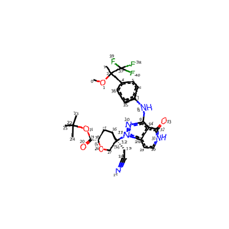 COC(C)(c1ccc(Nc2nn([C@]3(CC#N)CC[C@@H](C(=O)OC(C)(C)C)OC3)c3cc[nH]c(=O)c23)cc1)C(F)(F)F